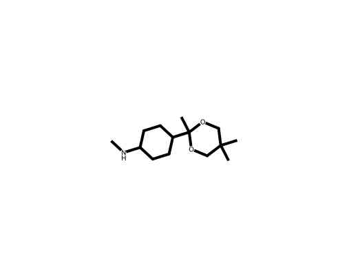 CNC1CCC(C2(C)OCC(C)(C)CO2)CC1